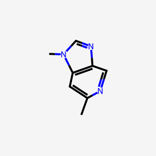 Cc1cc2c(cn1)ncn2C